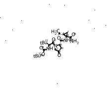 C=C[C@@H]1C[C@]1(NC(=O)[C@@H]1CC(=O)CN1C(=O)[C@@H](NC(=O)OC(C)(C)C)C(C)(C)C)C(N)=O